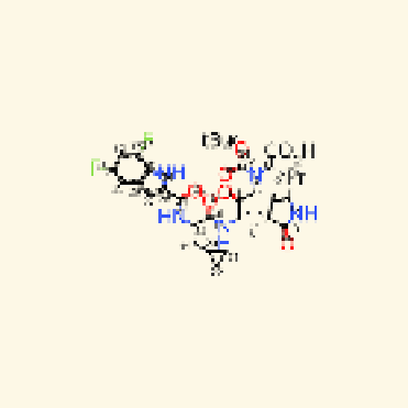 CC(C)[C@@H](C(=O)O)N(CC(=O)[C@H](C[C@@H]1CCNC1=O)NC(=O)[C@H](CC1CC1)NC(=O)c1cc2cc(F)cc(F)c2[nH]1)C(=O)OC(C)(C)C